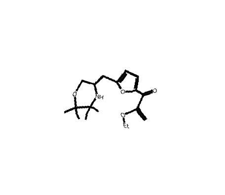 C=C(OCC)C(=O)c1ccc(CC2COC(C)(C)C(C)(C)N2)o1